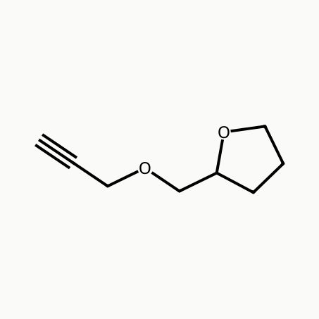 C#CCOCC1CCCO1